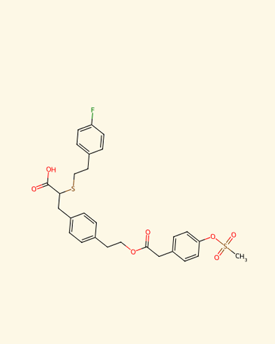 CS(=O)(=O)Oc1ccc(CC(=O)OCCc2ccc(CC(SCCc3ccc(F)cc3)C(=O)O)cc2)cc1